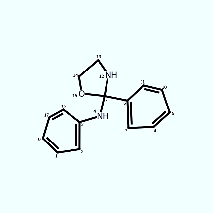 c1ccc(NC2(c3ccccc3)NCCO2)cc1